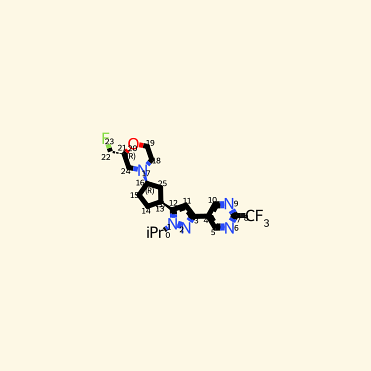 CC(C)n1nc(-c2cnc(C(F)(F)F)nc2)cc1[C@H]1CC[C@@H](N2CCO[C@@H](CF)C2)C1